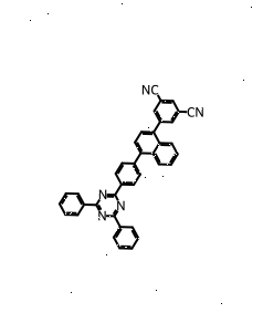 N#Cc1cc(C#N)cc(-c2ccc(-c3ccc(-c4nc(-c5ccccc5)nc(-c5ccccc5)n4)cc3)c3ccccc23)c1